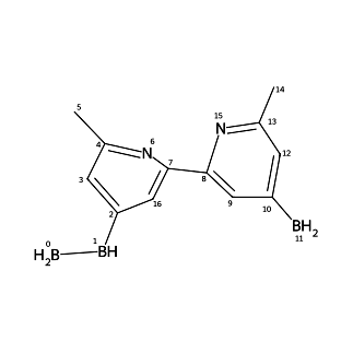 BBc1cc(C)nc(-c2cc(B)cc(C)n2)c1